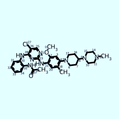 COc1cc(N2CCC(N3CCN(C)CC3)CC2)c(C)cc1Nc1ncc(Cl)c(Nc2ccccc2NC(C)=O)n1